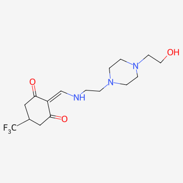 O=C1CC(C(F)(F)F)CC(=O)C1=CNCCN1CCN(CCO)CC1